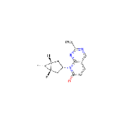 CSc1ncc2ccc(=O)n([C@@H]3C[C@@H]4[C@H](C)[C@@H]4C3)c2n1